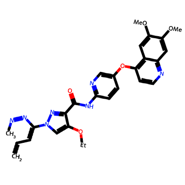 C=C/C=C(\N=N/C)n1cc(OCC)c(C(=O)Nc2ccc(Oc3ccnc4cc(OC)c(OC)cc34)cn2)n1